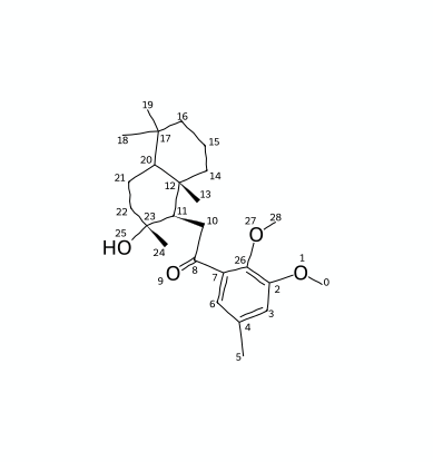 COc1cc(C)cc(C(=O)C[C@@H]2[C@@]3(C)CCCC(C)(C)C3CC[C@@]2(C)O)c1OC